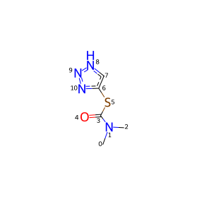 CN(C)C(=O)Sc1c[nH]nn1